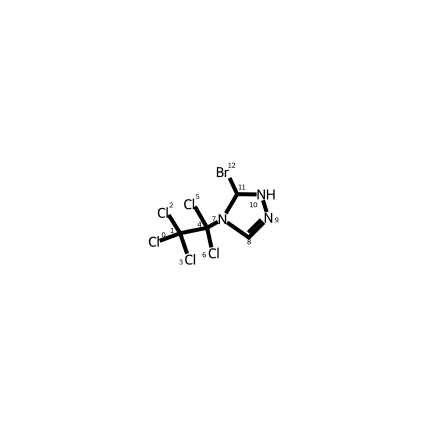 ClC(Cl)(Cl)C(Cl)(Cl)N1C=NNC1Br